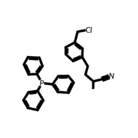 CC(C#N)CCc1cccc(CCl)c1.c1ccc(P(c2ccccc2)c2ccccc2)cc1